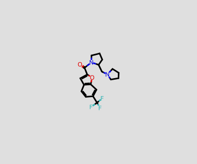 O=C(c1cc2ccc(C(F)(F)F)cc2o1)N1CCCC1CN1CCCC1